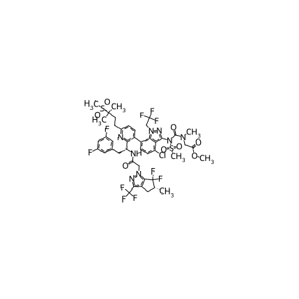 COC(=O)CN(C)C(=O)N(c1nn(CC(F)(F)F)c2c(-c3ccc(CCC(C)(C)S(C)(=O)=O)nc3[C@H](Cc3cc(F)cc(F)c3)NC(=O)Cn3nc(C(F)(F)F)c4c3C(F)(F)[C@H](C)C4)ccc(Cl)c12)S(C)(=O)=O